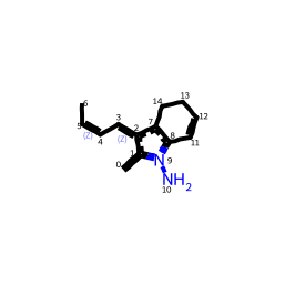 C=c1/c(=C\C=C/C)c2c(n1N)C=CCC2